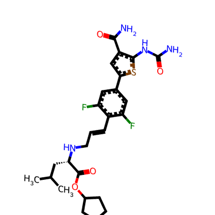 CC(C)C[C@H](NC/C=C/c1c(F)cc(-c2cc(C(N)=O)c(NC(N)=O)s2)cc1F)C(=O)OC1CCCC1